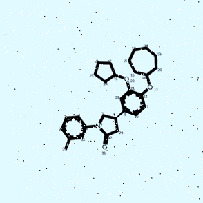 Cc1cccc(N2C[C@@H](c3ccc(OC4CCCCCC4)c(OC4CCCC4)c3)CC2=O)c1